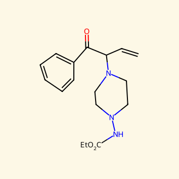 C=CC(C(=O)c1ccccc1)N1CCN(NC(=O)OCC)CC1